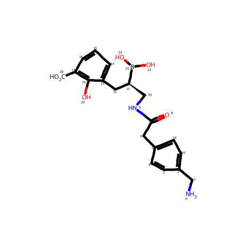 NCc1ccc(CC(=O)NC[C@@H](Cc2cccc(C(=O)O)c2O)B(O)O)cc1